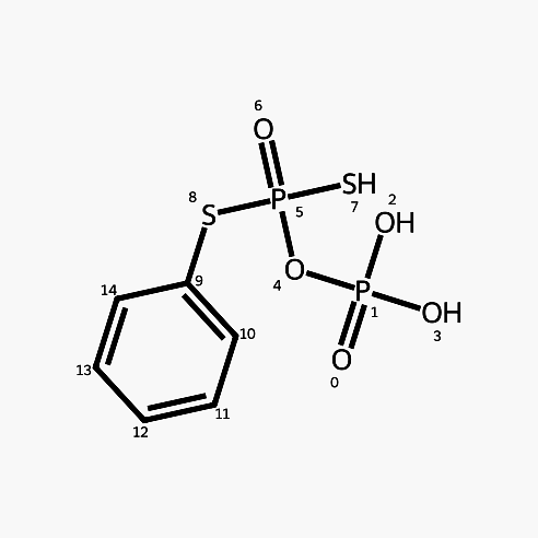 O=P(O)(O)OP(=O)(S)Sc1ccccc1